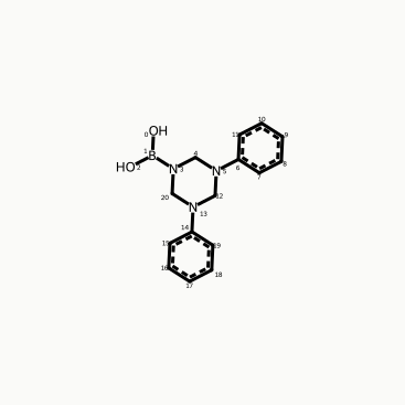 OB(O)N1CN(c2ccccc2)CN(c2ccccc2)C1